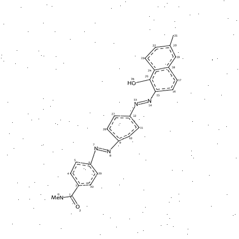 CNC(=O)c1ccc(N=Nc2ccc(N=Nc3ccc4cc(C)ccc4c3O)cc2)cc1